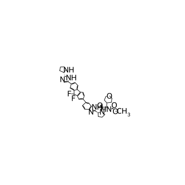 COC(=O)N[C@H](C(=O)N1CCC[C@H]1c1nc2ccc(-c3ccc4c(c3)C(F)(F)c3cc(-c5cnc([C@@H]6CCCN6)[nH]5)ccc3-4)cc2[nH]1)C1CCOCC1